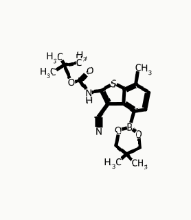 Cc1ccc(B2OCC(C)(C)CO2)c2c(C#N)c(NC(=O)OC(C)(C)C)sc12